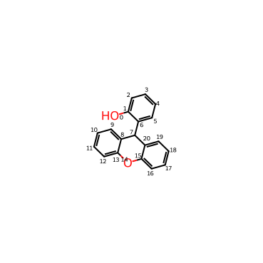 Oc1ccccc1C1c2ccccc2Oc2ccccc21